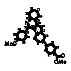 COC(=O)c1ccc(-c2ccn3c(c2)cc2c4ccccc4nc(-c4ccc(OC)cc4)c23)cc1